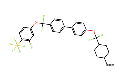 CCCCCCCC1CCC(C(F)(F)Oc2ccc(-c3ccc(C(F)(F)Oc4ccc(S(F)(F)(F)(F)F)c(F)c4)cc3)cc2)CC1